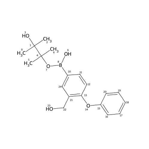 CC(C)(O)C(C)(C)OB(O)c1ccc(Oc2ccccc2)c(CO)c1